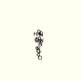 O=c1[nH]c(-c2cc(F)c3c(c2)nc(CN2CCC(c4cccc(OCc5ccc(Cl)cc5F)n4)CC2)n3C[C@@H]2CCO2)no1